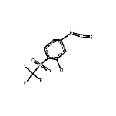 O=S(=O)(c1ccc(N=C=S)cc1Cl)C(F)(F)F